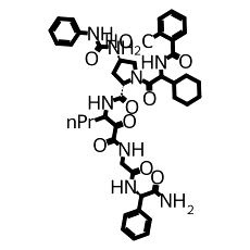 CCCC(NC(=O)[C@@H]1C[C@H](NC(=O)Nc2ccccc2)CN1C(=O)C(NC(=O)c1ccccc1C(=O)O)C1CCCCC1)C(=O)C(=O)NCC(=O)N[C@@H](C(N)=O)c1ccccc1